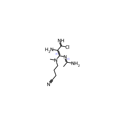 C/C(N)=N\C(=C(\N)C(=N)Cl)N(C)CCCC#N